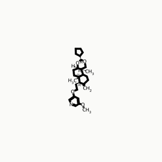 C=C1CCC2[C@]3(C)CO[C@@H](C4CCCC4)O[C@@H]3CC[C@@]2(C)[C@@H]1CCOc1cncc(OC)c1